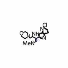 CN/C=C(\C(=N)CN1CCOCC1)c1cnc2ccc(Cl)nc2c1